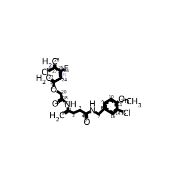 C=C(CCC(=O)NCc1ccc(OC)c(Cl)c1)NC(=O)COC(=C)/C=C(/F)C(=C)Cl